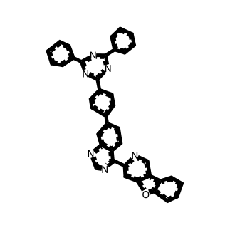 c1ccc(-c2nc(-c3ccccc3)nc(-c3ccc(-c4ccc5c(-c6cc7oc8ccccc8c7cn6)ncnc5c4)cc3)n2)cc1